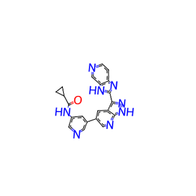 O=C(Nc1cncc(-c2cnc3[nH]nc(-c4nc5ccncc5[nH]4)c3c2)c1)C1CC1